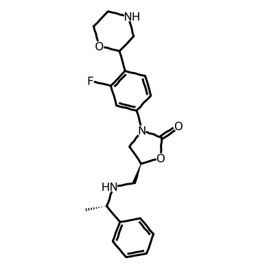 C[C@H](NC[C@H]1CN(c2ccc(C3CNCCO3)c(F)c2)C(=O)O1)c1ccccc1